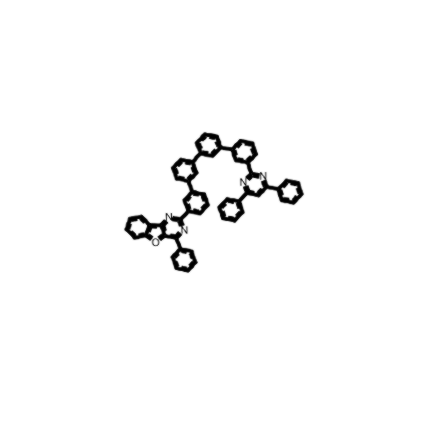 c1ccc(-c2cc(-c3ccccc3)nc(-c3cccc(-c4cccc(-c5cccc(-c6cccc(-c7nc(-c8ccccc8)c8oc9ccccc9c8n7)c6)c5)c4)c3)n2)cc1